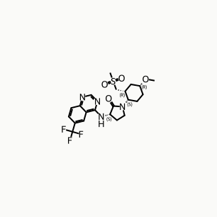 CO[C@@H]1CC[C@H](N2CC[C@H](Nc3ncnc4ccc(C(F)(F)F)cc34)C2=O)[C@H](CS(C)(=O)=O)C1